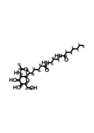 CCCCCCC(=O)NCCCNC(=O)CCCCO[C@@H]1OC(CO)[C@H](O)C(O)C1NC(C)=O